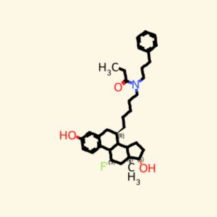 CCC(=O)N(CCCCC[C@@H]1Cc2cc(O)ccc2C2C1C1CC[C@H](O)[C@@]1(C)C[C@@H]2F)CCCc1ccccc1